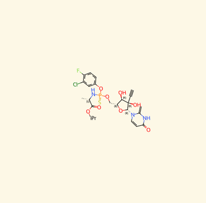 C#C[C@@]1(O)[C@H](O)[C@@H](COP(=S)(N[C@@H](C)C(=O)OC(C)C)Oc2ccc(F)c(Cl)c2)O[C@H]1N1C=CC(=O)NC1=C